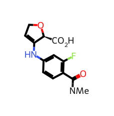 CNC(=O)c1ccc(NC2=CCO[C@H]2C(=O)O)cc1F